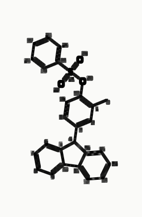 Cc1cc(C2c3ccccc3-c3ccccc32)ccc1OS(=O)(=O)c1ccccc1